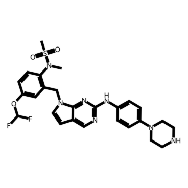 CN(c1ccc(OC(F)F)cc1Cn1ccc2cnc(Nc3ccc(N4CCNCC4)cc3)nc21)S(C)(=O)=O